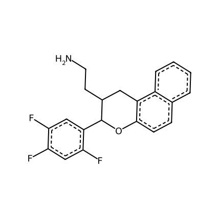 NCCC1Cc2c(ccc3ccccc23)OC1c1cc(F)c(F)cc1F